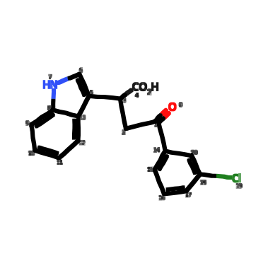 O=C(CC(C(=O)O)c1c[nH]c2ccccc12)c1cccc(Cl)c1